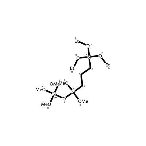 CCO[Si](CCC[Si](OC)(OC)O[Si](OC)(OC)OC)(OCC)OCC